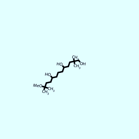 COC(C)(C)CCC(O)CCCC(O)CCC(C)(C)CO